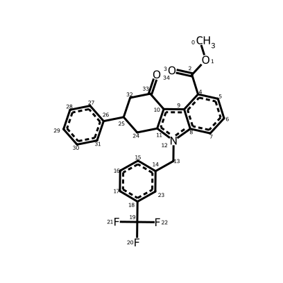 COC(=O)c1cccc2c1c1c(n2Cc2cccc(C(F)(F)F)c2)CC(c2ccccc2)CC1=O